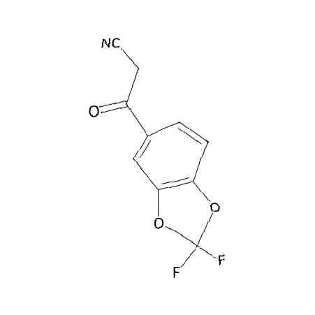 N#CCC(=O)c1ccc2c(c1)OC(F)(F)O2